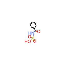 O=C(NCS(=O)(=O)O)c1ccccc1